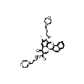 O=C(NCCCN1CCOCC1)c1cn2c3c(c(NCCCN4CCOCC4)c(F)cc3c1=O)Oc1c-2ccc2ccccc12